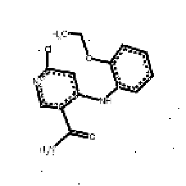 CCOc1ccccc1Nc1cc(Cl)ncc1C(N)=O